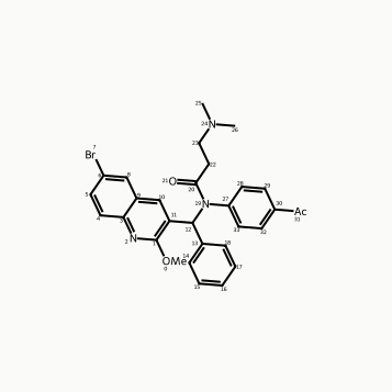 COc1nc2ccc(Br)cc2cc1C(c1ccccc1)N(C(=O)CCN(C)C)c1ccc(C(C)=O)cc1